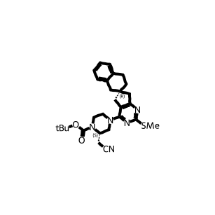 CSc1nc2c(c(N3CCN(C(=O)OC(C)(C)C)[C@@H](CC#N)C3)n1)C[C@]1(CCc3ccccc3C1)C2